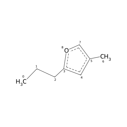 CCCc1cc(C)co1